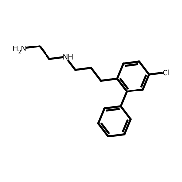 NCCNCCCc1ccc(Cl)cc1-c1ccccc1